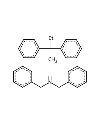 CCC(C)(c1ccccc1)c1ccccc1.c1ccc(CNCc2ccccc2)cc1